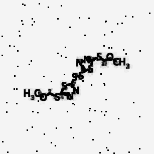 COCSc1nnc(SSc2nnc(SCOC)s2)s1